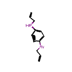 C=CCPc1ccc(PCC=C)cc1